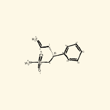 C=CC[C@@H](CS(N)(=O)=O)c1ccccc1